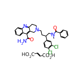 CN(CC(CCN1CCc2nc3ccccc3c(C(N)=O)c2C1)c1ccc(Cl)c(Cl)c1)C(=O)c1ccccc1.O=C(O)/C=C/C(=O)O